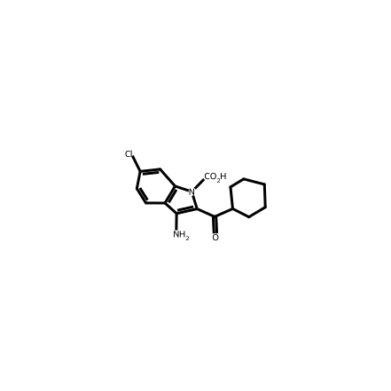 Nc1c(C(=O)C2CCCCC2)n(C(=O)O)c2cc(Cl)ccc12